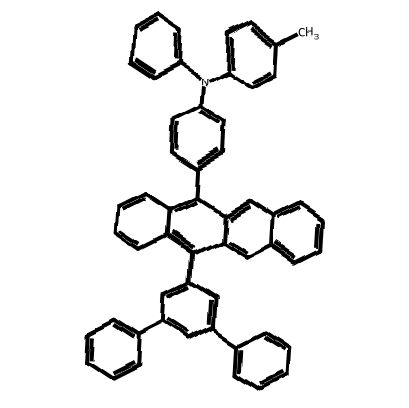 Cc1ccc(N(c2ccccc2)c2ccc(-c3c4ccccc4c(-c4cc(-c5ccccc5)cc(-c5ccccc5)c4)c4cc5ccccc5cc34)cc2)cc1